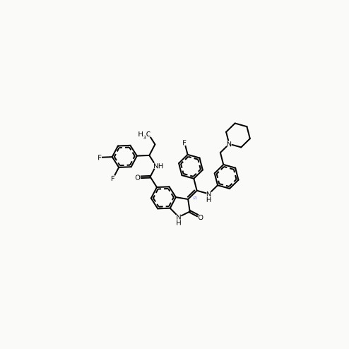 CCC(NC(=O)c1ccc2c(c1)/C(=C(/Nc1cccc(CN3CCCCC3)c1)c1ccc(F)cc1)C(=O)N2)c1ccc(F)c(F)c1